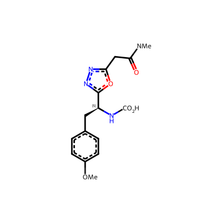 CNC(=O)Cc1nnc([C@H](Cc2ccc(OC)cc2)NC(=O)O)o1